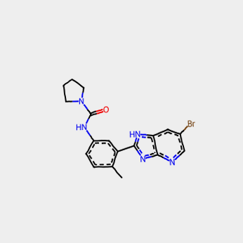 Cc1ccc(NC(=O)N2CCCC2)cc1-c1nc2ncc(Br)cc2[nH]1